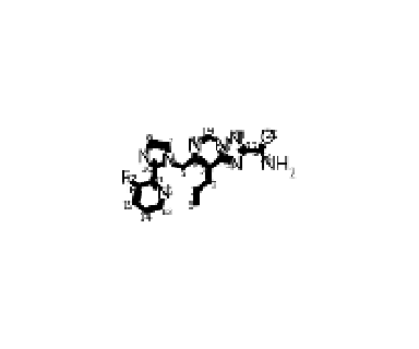 CCCc1c(Cn2ccnc2-c2ncccc2F)ncn2nc(C(N)=O)nc12